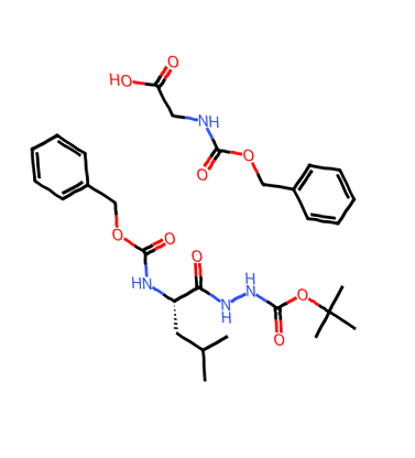 CC(C)C[C@H](NC(=O)OCc1ccccc1)C(=O)NNC(=O)OC(C)(C)C.O=C(O)CNC(=O)OCc1ccccc1